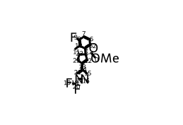 COC(=O)[C@]1(c2cccc(F)c2C)C=C(c2cnn(C(F)F)c2)CC1